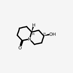 O=C1CCC[C@@H]2C[C@@H](O)CCN12